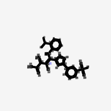 CC(C)c1ccccc1N/C(=C(/Cl)C(=N)C(=O)O)c1nnc(-c2cccc(S(C)(=O)=O)c2)s1